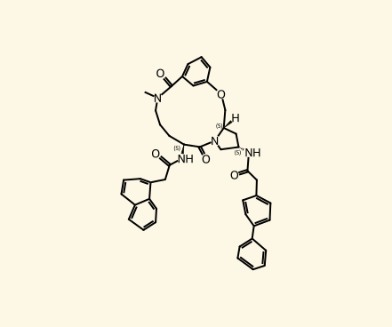 CN1CCC[C@H](NC(=O)Cc2cccc3ccccc23)C(=O)N2C[C@@H](NC(=O)Cc3ccc(-c4ccccc4)cc3)C[C@H]2COc2cccc(c2)C1=O